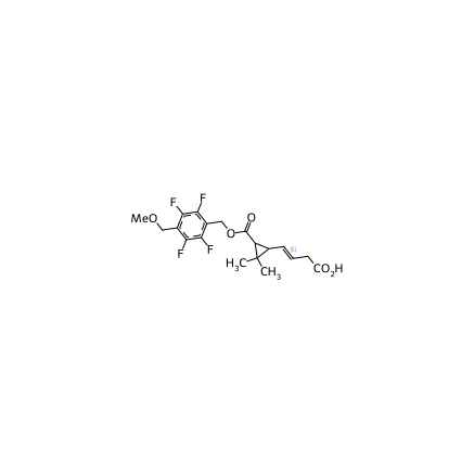 COCc1c(F)c(F)c(COC(=O)C2C(/C=C/CC(=O)O)C2(C)C)c(F)c1F